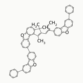 C=C/C(=C\C1=C(C)c2c(ccc3oc4ccc(-c5ccc6oc7ccc(-c8ccccc8)cc7c6c5)cc4c23)C1(C)C)c1ccc2oc3ccc(-c4ccccc4)cc3c2c1